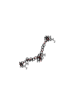 Nc1ccnc(OCc2ccc(CNC(=O)NCCOCCOCCOCCNC(=O)C(CC(=O)NCCOCCOCCOCCOCc3ccc(COc4nc(N)nc5[nH]cnc45)cc3)N3C(=O)c4ccccc4C3=O)cc2)n1